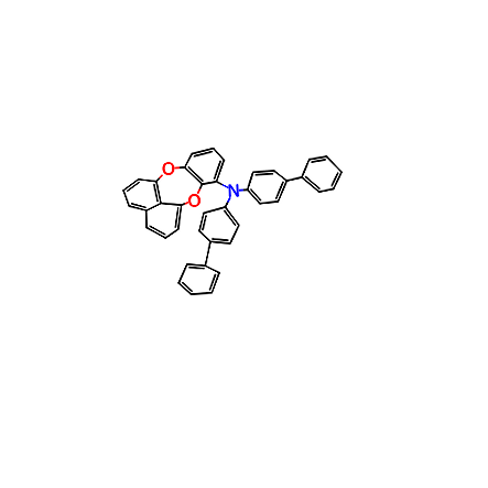 c1ccc(-c2ccc(N(c3ccc(-c4ccccc4)cc3)c3cccc4c3Oc3cccc5cccc(c35)O4)cc2)cc1